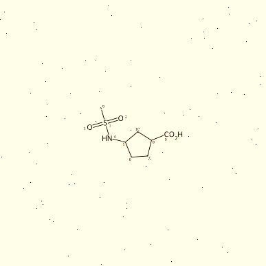 CS(=O)(=O)NC1CCC(C(=O)O)C1